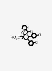 CCC(c1ncccn1)N1C(=O)C(C)(CC(=O)O)CC(c2cccc(Cl)c2)C1c1ccc(Cl)cc1